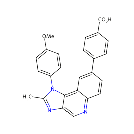 COc1ccc(-n2c(C)nc3cnc4ccc(-c5ccc(C(=O)O)cc5)cc4c32)cc1